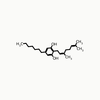 CCCCCCCc1cc(O)c(CC=C(C)CCC=C(C)C)c(O)c1